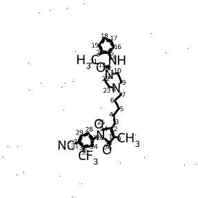 CC1=C(CCCCCN2CCN(C(=O)Nc3ccccc3C)CC2)C(=O)N(c2ccc(C#N)c(C(F)(F)F)c2)C1=O